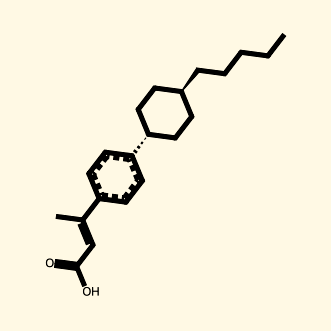 CCCCC[C@H]1CC[C@H](c2ccc(C(C)=CC(=O)O)cc2)CC1